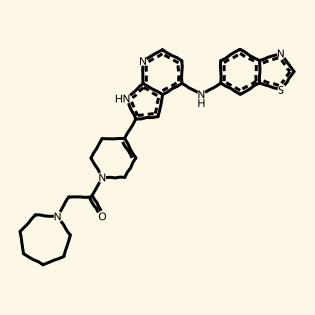 O=C(CN1CCCCCC1)N1CC=C(c2cc3c(Nc4ccc5ncsc5c4)ccnc3[nH]2)CC1